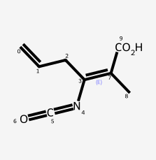 C=CC/C(N=C=O)=C(/C)C(=O)O